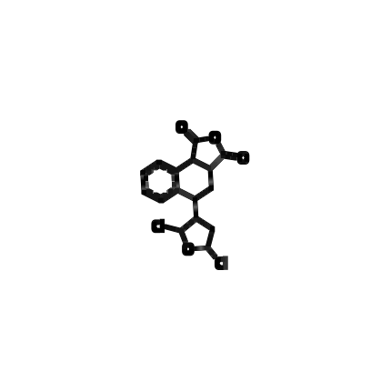 O=C1OC(=O)C2c3ccccc3C(C3CC(Cl)OC3Cl)CC12